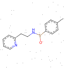 Cc1ccc([S+]([O-])NCCc2ccccn2)cc1